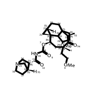 COCC[C@]1(C)C[C@@H](OC(=O)NC(=O)[C@H]2CN3CC[C@@H]2C3)[C@]23C[C@@H]2CCC2(CC[C@@H](OC)C23)[C@@H](C)C1=O